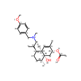 COc1ccc(CN(C)CC(C)[C@@H]2CC[C@@H](C)[C@]3(O)[CH][C@@H](OC(C)=O)C(C)=C[C@H]23)cc1